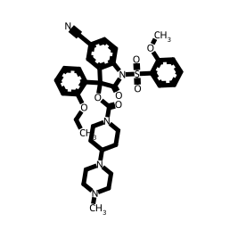 CCOc1ccccc1C1(OC(=O)N2CCC(N3CCN(C)CC3)CC2)C(=O)N(S(=O)(=O)c2ccccc2OC)c2ccc(C#N)cc21